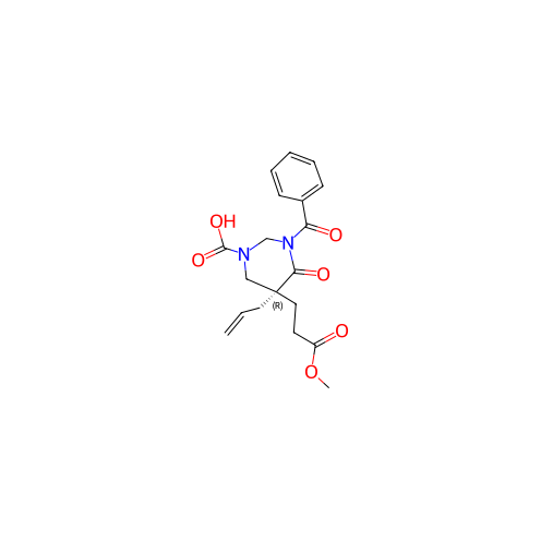 C=CC[C@]1(CCC(=O)OC)CN(C(=O)O)CN(C(=O)c2ccccc2)C1=O